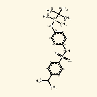 CC(C)c1ccc(S(=O)(=O)Nc2ccc(O[Si](C)(C)C(C)(C)C)cn2)cc1